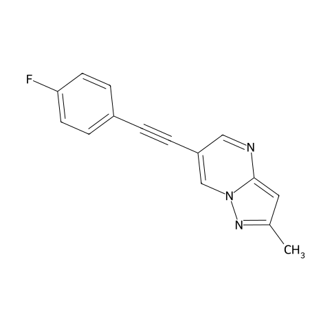 Cc1cc2ncc(C#Cc3ccc(F)cc3)cn2n1